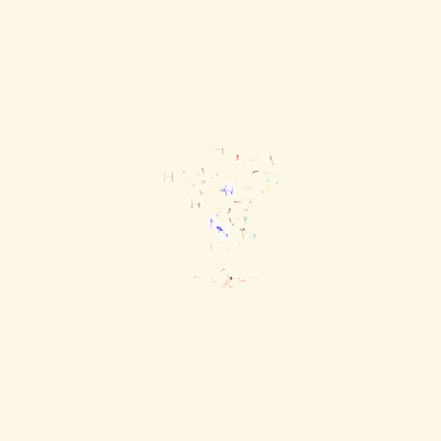 COc1cccc(Cl)c1[C@H](O)CN(C(=O)c1cnn([C@H]2CC[C@](C)(C(=O)O)CC2)c1C(F)(F)F)[C@H]1C[C@@H]2[C@H](C1)C2(C)C